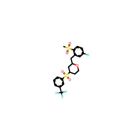 CS(=O)(=O)c1ccc(F)cc1CC1CC(S(=O)(=O)c2cccc(C(F)(F)F)c2)CCO1